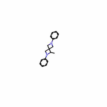 CC1N(c2ccccc2)CC12CN(c1ccccc1)C2